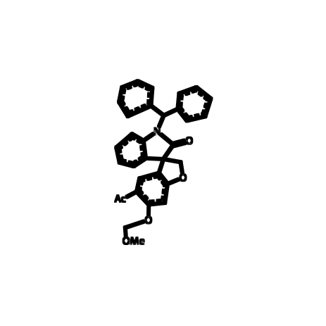 COCOc1cc2c(cc1C(C)=O)C1(CO2)C(=O)N(C(c2ccccc2)c2ccccc2)c2ccccc21